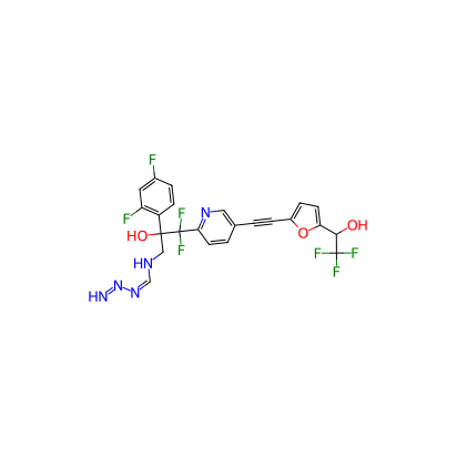 N=N/N=C\NCC(O)(c1ccc(F)cc1F)C(F)(F)c1ccc(C#Cc2ccc(C(O)C(F)(F)F)o2)cn1